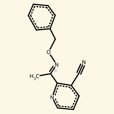 C/C(=N\OCc1ccccc1)c1ncccc1C#N